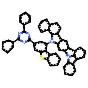 c1ccc(-c2nc(-c3ccccc3)nc(-c3cc(-n4c5cc6c(cc5c5ccc7ccccc7c54)c4cccc5c7ccccc7n6c54)c4c(c3)sc3ccccc34)n2)cc1